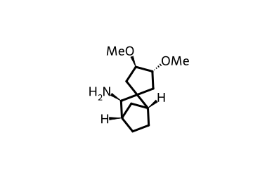 CO[C@@H]1CC2(C[C@H]1OC)[C@@H]1CC[C@@H](C1)[C@H]2N